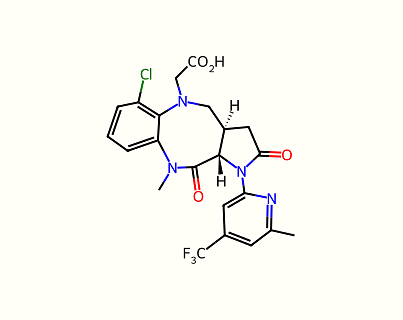 Cc1cc(C(F)(F)F)cc(N2C(=O)C[C@@H]3CN(CC(=O)O)c4c(Cl)cccc4N(C)C(=O)[C@H]32)n1